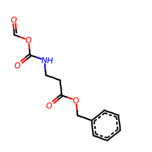 O=COC(=O)NCCC(=O)OCc1ccccc1